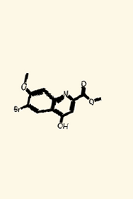 COC(=O)c1cc(O)c2cc(Br)c(OC)cc2n1